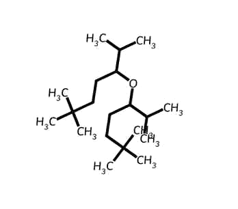 CC(C)C(CCC(C)(C)C)OC(CCC(C)(C)C)C(C)C